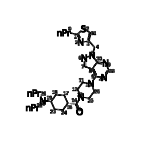 CCCc1nc(Cn2ncc3c(N4CCN(C(=O)[C@H]5CC[C@H](N(CCC)CCC)CC5)CC4)ncnc32)cs1